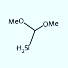 COC([SiH2])OC